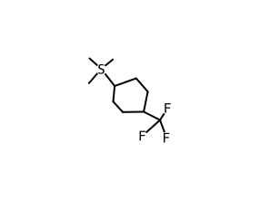 CS(C)(C)C1CCC(C(F)(F)F)CC1